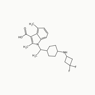 Cc1cccc2c1c(C(=O)O)c(C)n2C(C)C1CCC(NC2CC(F)(F)C2)CC1